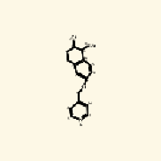 CCC1CCc2cc(OCc3ccncc3)ccc2C1C(C)(C)C